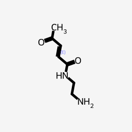 CC(=O)/C=C/C(=O)NCCN